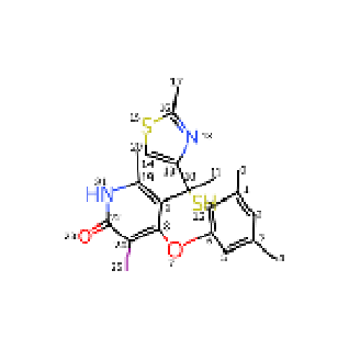 Cc1cc(C)cc(Oc2c(C(C)(S)c3csc(C)n3)c(C)[nH]c(=O)c2I)c1